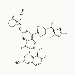 CCc1c(F)ccc2cc(O)cc(-c3ncc4c(N5CCC(C(=O)n6nc(C)cc6C)CC5)nc(OC[C@@]56CCCN5C[C@H](F)C6)nc4c3F)c12